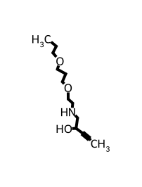 CC#CC(O)CNCCOCCCOCCC